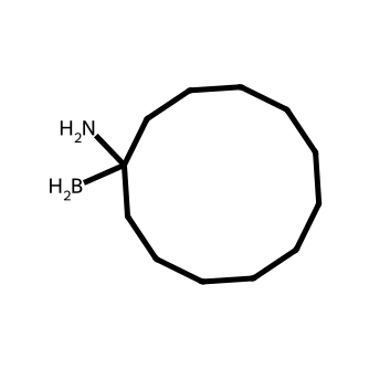 BC1(N)CCCCCCCCCCC1